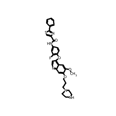 COc1cc2c(Oc3ccc(NC(=O)c4csc(-c5ccccc5)n4)cc3F)ccnc2cc1OCCCN1CCNCC1